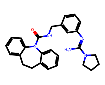 NC(=Nc1cccc(CNC(=O)N2c3ccccc3CCc3ccccc32)c1)N1CCCC1